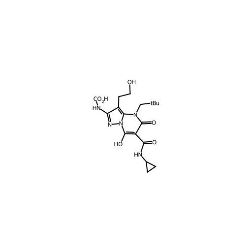 CC(C)(C)Cn1c(=O)c(C(=O)NC2CC2)c(O)n2nc(NC(=O)O)c(CCO)c12